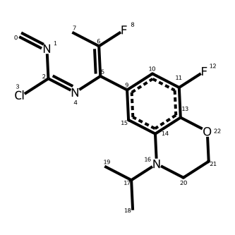 C=N/C(Cl)=N\C(=C(/C)F)c1cc(F)c2c(c1)N(C(C)C)CCO2